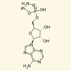 CC(C)O[PH](O)(ON)OC[C@@H]1O[C@H](n2cnc3c(N)ncnc32)[C@@H](O)[C@H]1O